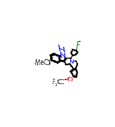 COc1ccc2[nH]c3c(c2c1)CC1c2cc(OCC(F)(F)F)ccc2CCN1C3c1ccc(F)cc1